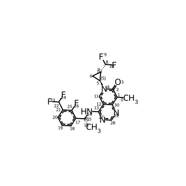 Cc1c(=O)n([C@H]2C[C@@H]2C(F)F)cc2c(N[C@H](C)c3cccc(C(F)F)c3F)ncnc12